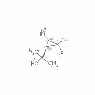 CC(C)[C@H]1[C@H](C(C)(C)O)C1(F)F